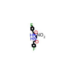 O=C(Cc1ccc(F)cc1)NC=C(NC(=O)Cc1ccc(F)cc1)[N+](=O)[O-]